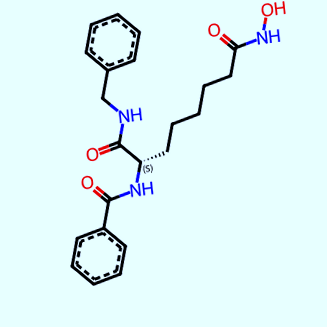 O=C(CCCCC[C@H](NC(=O)c1ccccc1)C(=O)NCc1ccccc1)NO